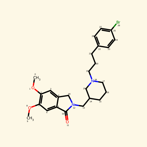 COc1cc2c(cc1OC)C(=O)N(CC1CCCN(CCCc3ccc(Br)cc3)C1)C2